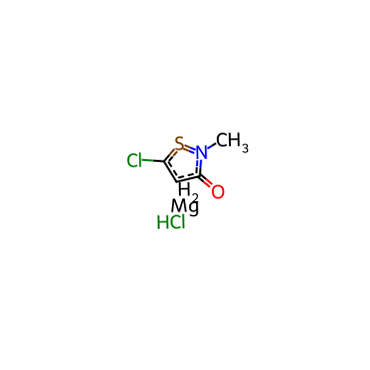 Cl.Cn1sc(Cl)cc1=O.[MgH2]